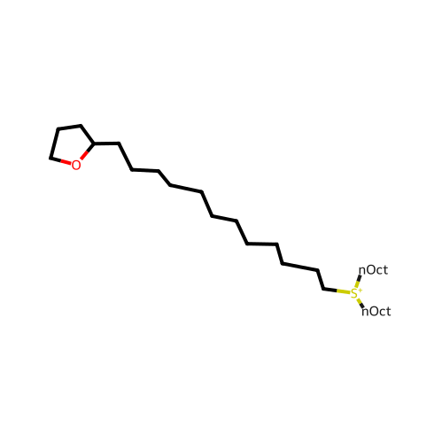 CCCCCCCC[S+](CCCCCCCC)CCCCCCCCCCCCC1CCCO1